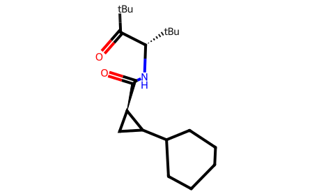 CC(C)(C)C(=O)[C@@H](NC(=O)[C@@H]1CC1C1CCCCC1)C(C)(C)C